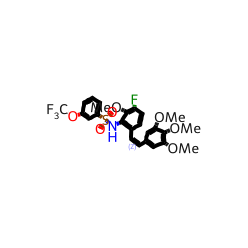 COc1cc(/C=C\c2ccc(F)c(OC)c2NS(=O)(=O)c2cccc(OC(F)(F)F)c2)cc(OC)c1OC